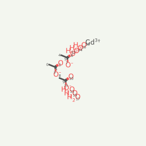 CC(=O)[O-].CC(=O)[O-].CC(=O)[O-].O.O.O.O.O.O.[Gd+3]